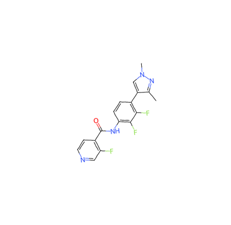 Cc1nn(C)cc1-c1ccc(NC(=O)c2ccncc2F)c(F)c1F